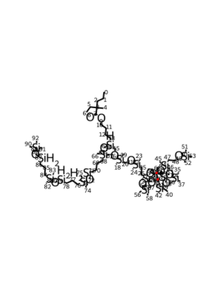 CCCC(C)(CC)C(=O)OCCCC[SiH](CO[Si](C)(C)CO[Si](C)(C)CC[Si](OC(C)(C)[Si](O[Si](C)(C)C)(O[Si](C)(C)C)O[Si](C)(C)CCO[Si](C)(C)C)(O[Si](C)(C)C)O[Si](C)(C)C)O[Si](C)(C)CCC[SiH2]O[Si](C)(C)CCC[SiH2]O[Si](C)(C)CCC[SiH2]O[Si](C)(C)C